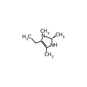 CCC1=C(C)N[C@H](C)N1C